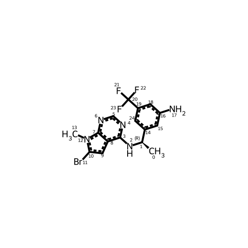 C[C@@H](Nc1ncnc2c1cc(Br)n2C)c1cc(N)cc(C(F)(F)F)c1